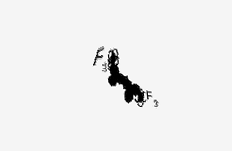 O=S(=O)(Oc1ccc2c(c1)c1ccccc1c1cc3c(cc21)Cc1cc2c4ccc(OS(=O)(=O)C(F)(F)F)cc4c4ccccc4c2cc1-3)C(F)(F)F